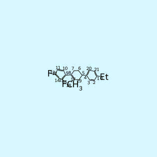 CCc1ccc(C2CCC(c3ccc(F)cc3F)=C(C)C2)cc1